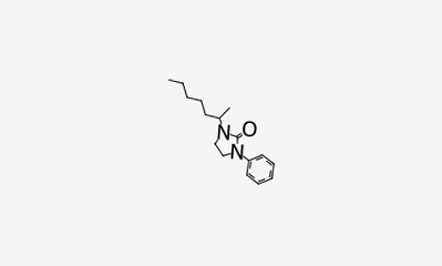 CCCCCC(C)N1CCN(c2ccccc2)C1=O